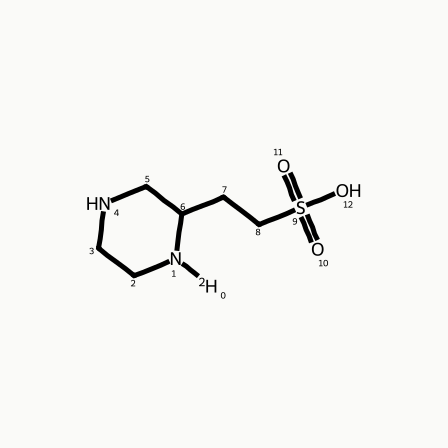 [2H]N1CCNCC1CCS(=O)(=O)O